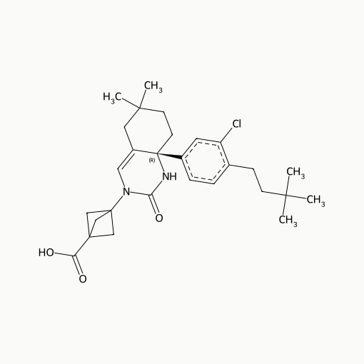 CC(C)(C)CCc1ccc([C@]23CCC(C)(C)CC2=CN(C24CC(C(=O)O)(C2)C4)C(=O)N3)cc1Cl